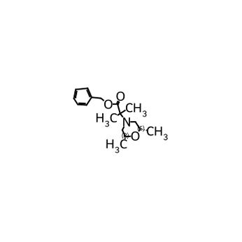 C[C@@H]1CN(C(C)(C)C(=O)OCc2ccccc2)C[C@H](C)O1